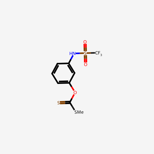 CSC(=S)Oc1cccc(NS(=O)(=O)C(F)(F)F)c1